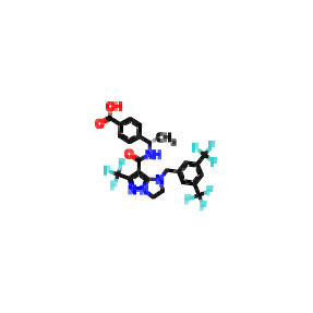 C[C@H](NC(=O)c1c(C(F)(F)F)nn2c1N(Cc1cc(C(F)(F)F)cc(C(F)(F)F)c1)CC2)c1ccc(C(=O)O)cc1